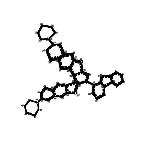 c1ccc2c(c1)oc1c(-c3cc4oc5cc6cc(N7CCCCC7)ccc6cc5c4c4c3oc3cc5cc(N6CCCCC6)ccc5cc34)cccc12